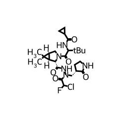 CC(C)(C)C(NC(=O)C1CC1)C(=O)N1C[C@H]2[C@@H]([C@H]1C(=O)NN(C[C@@H]1CCNC1=O)C(=O)C(F)Cl)C2(C)C